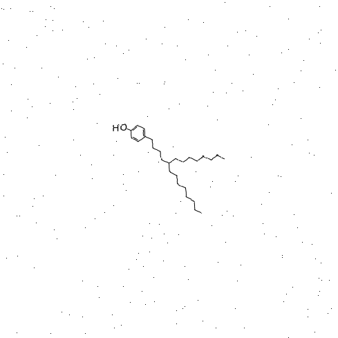 CCCCCCCCC(CCCCCCCC)CCCCc1ccc(O)cc1